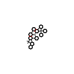 CC1(C)c2cccc(-c3ccccc3N(c3ccc4c(c3)C(c3ccccc3)(c3ccccc3)c3ccccc3-4)c3ccccc3-c3ccccc3)c2-c2ccc3ccccc3c21